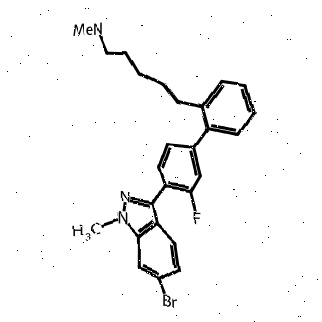 CNCCCCCc1ccccc1-c1ccc(-c2nn(C)c3cc(Br)ccc23)c(F)c1